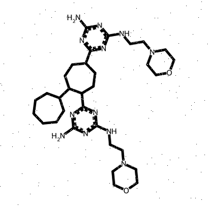 Nc1nc(NCCN2CCOCC2)nc(C2CCC(c3nc(N)nc(NCCN4CCOCC4)n3)C(C3CCCCCC3)CC2)n1